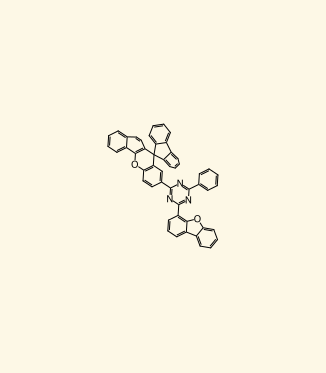 c1ccc(-c2nc(-c3ccc4c(c3)C3(c5ccccc5-c5ccccc53)c3ccc5ccccc5c3O4)nc(-c3cccc4c3oc3ccccc34)n2)cc1